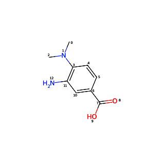 CN(C)c1ccc(C(=O)O)cc1N